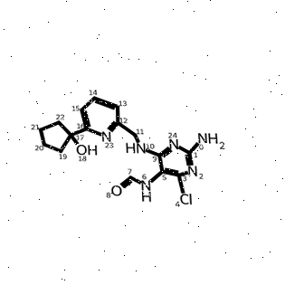 Nc1nc(Cl)c(NC=O)c(NCc2cccc(C3(O)CCCC3)n2)n1